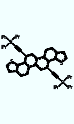 CC(C)[Si](C#Cc1cc2c(cc(C#C[Si](C(C)C)(C(C)C)C(C)C)c3c2ccc2ccsc23)c2ccc3ccsc3c12)(C(C)C)C(C)C